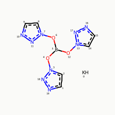 [KH].c1cn(OB(On2ccnn2)On2ccnn2)nn1